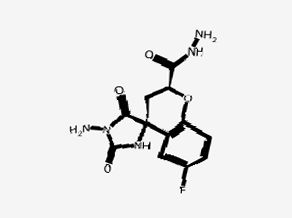 NNC(=O)[C@@H]1C[C@]2(NC(=O)N(N)C2=O)c2cc(F)ccc2O1